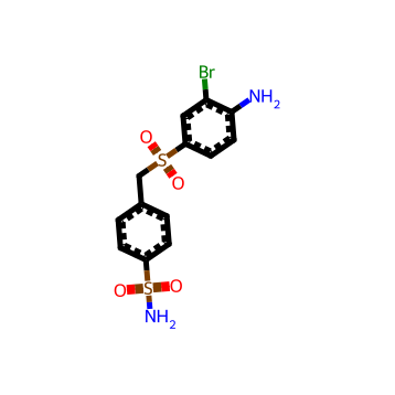 Nc1ccc(S(=O)(=O)Cc2ccc(S(N)(=O)=O)cc2)cc1Br